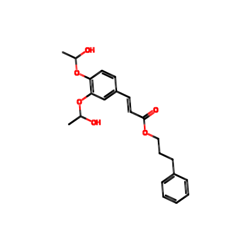 CC(O)Oc1ccc(/C=C/C(=O)OCCCc2ccccc2)cc1OC(C)O